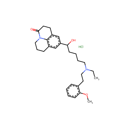 CCN(CCCCC(O)c1cc2c3c(c1)CCC(=O)N3CCC2)CCc1ccccc1OC.Cl